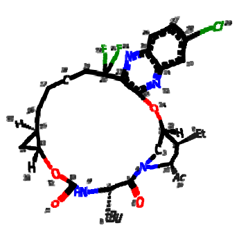 CC[C@@H]1[C@@H]2CN(C(=O)[C@H](C(C)(C)C)NC(=O)O[C@@H]3C[C@H]3CCCCC(F)(F)c3nc4ccc(Cl)cc4nc3O2)[C@@H]1C(C)=O